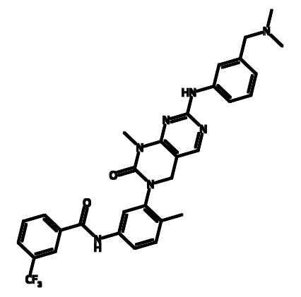 Cc1ccc(NC(=O)c2cccc(C(F)(F)F)c2)cc1N1Cc2cnc(Nc3cccc(CN(C)C)c3)nc2N(C)C1=O